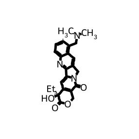 CC[C@@]1(O)C(=O)OCc2c1cc1n(c2=O)Cc2cc3c(CN(C)C)[c]ccc3nc2-1